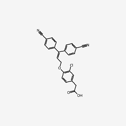 N#Cc1ccc(C(=CCOc2ccc(CC(=O)O)cc2Cl)c2ccc(C#N)cc2)cc1